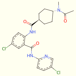 CC(=O)N(C)[C@H]1CC[C@H](C(=O)Nc2ccc(Cl)cc2C(=O)Nc2ccc(Cl)cn2)CC1